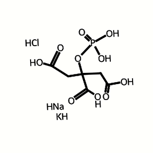 Cl.O=C(O)CC(CC(=O)O)(OP(=O)(O)O)C(=O)O.[KH].[NaH]